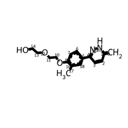 C=C1C=CC(c2ccc(OCCOCCO)c(C)c2)=NN1